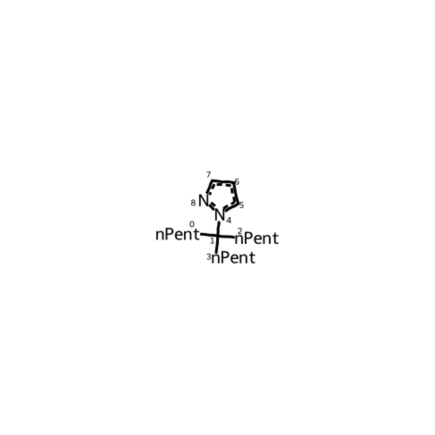 CCCCCC(CCCCC)(CCCCC)n1cccn1